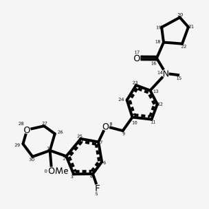 COC1(c2cc(F)cc(OCc3ccc(N(C)C(=O)C4CCCC4)cc3)c2)CCOCC1